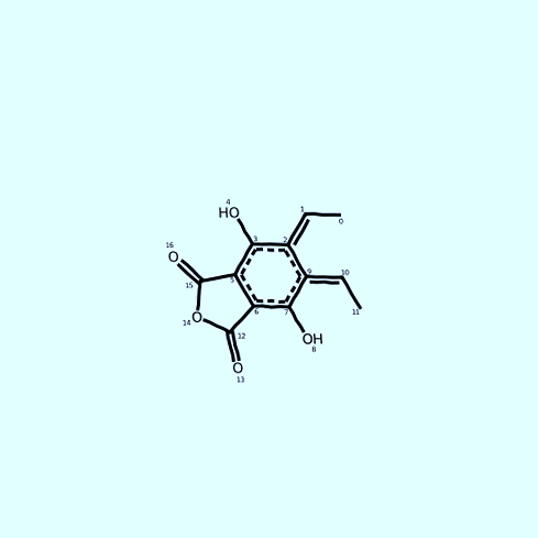 CC=c1c(O)c2c(c(O)c1=CC)C(=O)OC2=O